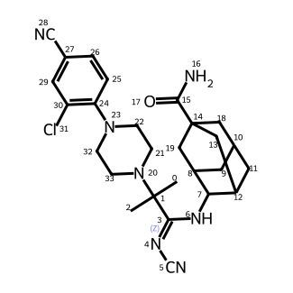 CC(C)(/C(=N/C#N)NC1C2CC3CC1CC(C(N)=O)(C3)C2)N1CCN(c2ccc(C#N)cc2Cl)CC1